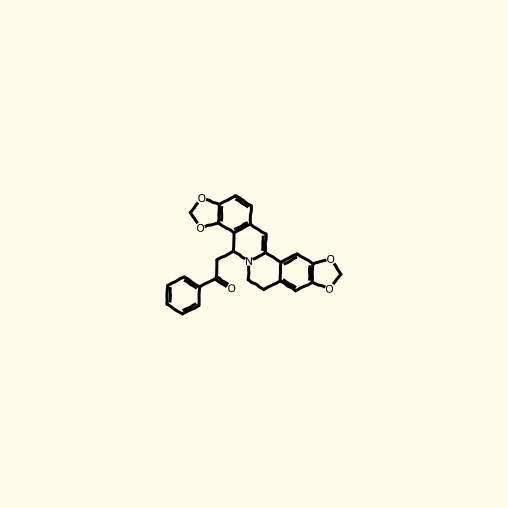 O=C(CC1c2c(ccc3c2OCO3)C=C2c3cc4c(cc3CCN21)OCO4)c1ccccc1